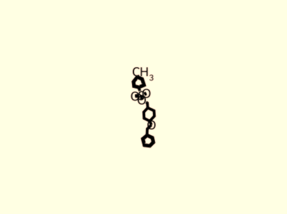 Cc1ccc(S(=O)(=O)OCC2CCC(OCc3ccccc3)CC2)cc1